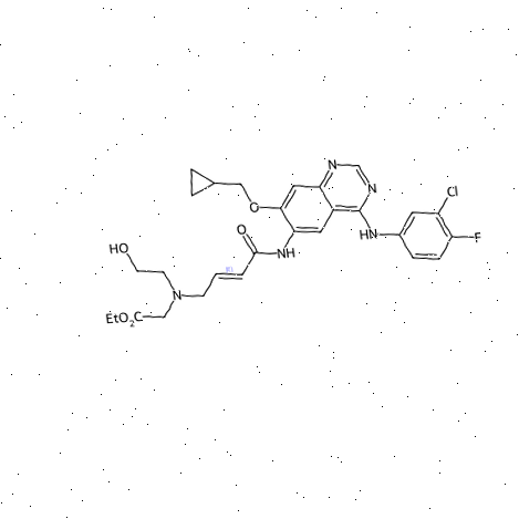 CCOC(=O)CN(C/C=C/C(=O)Nc1cc2c(Nc3ccc(F)c(Cl)c3)ncnc2cc1OCC1CC1)CCO